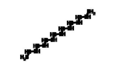 BBBBBBBBBBBBBBBB